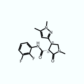 Cc1cc([C@H]2CN(C)C(=O)[C@@H]2C(=O)Nc2cccc(F)c2F)nn1C